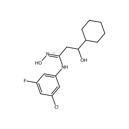 O/N=C(/CC(O)C1CCCCC1)Nc1cc(F)cc(Cl)c1